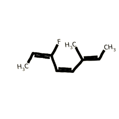 C/C=C(C)/C=C\C(F)=C/C